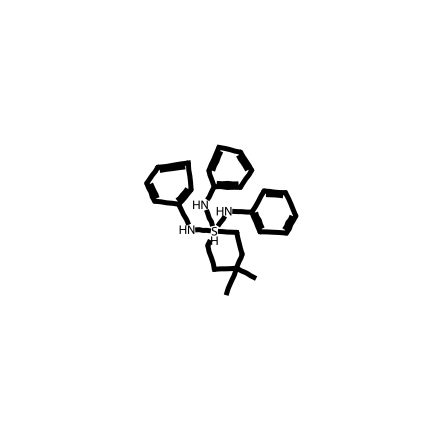 CC1(C)CC[SH](Nc2ccccc2)(Nc2ccccc2)(Nc2ccccc2)CC1